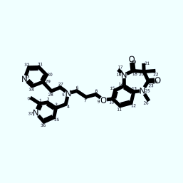 Cc1cc(CN(CCCOc2ccc3c(c2)N(C)C(=O)C(C)(C)C(=O)N3C)CCc2cccnc2)ccn1